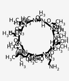 C/C=C/C[C@@H](C)[C@@H](O)[C@H]1C(=O)N(C)[C@@H](CC)C(=O)N(C)[C@H](CSCCN)C(=O)N(C)[C@@H](CC(C)(C)O)C(=O)N[C@@H](C(C)C)C(=O)N(C)[C@@H](CC(C)C)C(=O)N[C@@H](C)C(=O)N[C@H](C)C(=O)N(C)[C@@H](CC(C)C)C(=O)N(C)[C@@H](CC(C)C)C(=O)N(C)[C@@H](C(C)C)C(=O)N1C